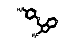 CC1CC2=COC=CC2=C1COc1ccc(N)cc1